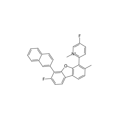 Cc1ccc2c(oc3c(-c4ccc5ccccc5c4)c(F)ccc32)c1-c1ccc(F)c[n+]1C